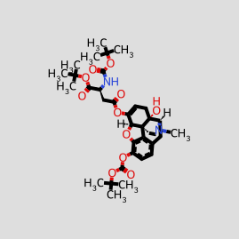 CN1CC[C@]23c4c5ccc(OC(=O)OC(C)(C)C)c4O[C@H]2C(OC(=O)C[C@H](NC(=O)OC(C)(C)C)C(=O)OC(C)(C)C)=CC[C@@]3(O)[C@H]1C5